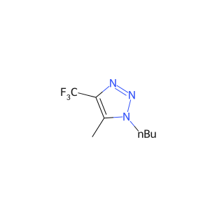 CCCCn1nnc(C(F)(F)F)c1C